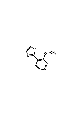 COc1[c]nccc1-c1nccs1